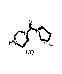 Cl.O=C(N1CCNCC1)N1CC[C@H](F)C1